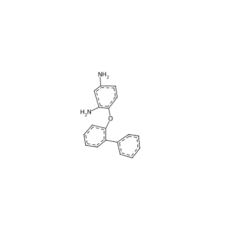 Nc1ccc(Oc2ccccc2-c2ccccc2)c(N)c1